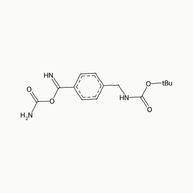 CC(C)(C)OC(=O)NCc1ccc(C(=N)OC(N)=O)cc1